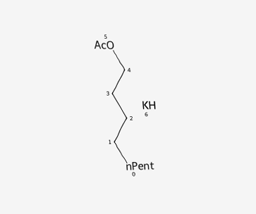 CCCCCCCCCOC(C)=O.[KH]